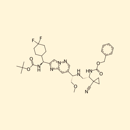 COC[C@@H](NC[C@H](NC(=O)OCc1ccccc1)C1(C#N)CC1)c1cnn2cc([C@@H](NC(=O)OC(C)(C)C)C3CCC(F)(F)CC3)nc2c1